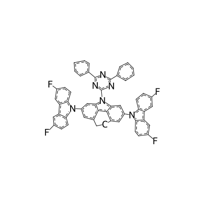 Fc1ccc2c(c1)c1cc(F)ccc1n2-c1cc2c3c4c(cc(-n5c6ccc(F)cc6c6cc(F)ccc65)cc4n(-c4nc(-c5ccccc5)nc(-c5ccccc5)n4)c3c1)CC2